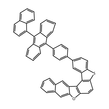 c1ccc2cc3c(cc2c1)oc1ccc2sc4ccc(-c5ccc(-c6c7ccccc7c(-c7cccc8ccccc78)c7ccccc67)cc5)cc4c2c13